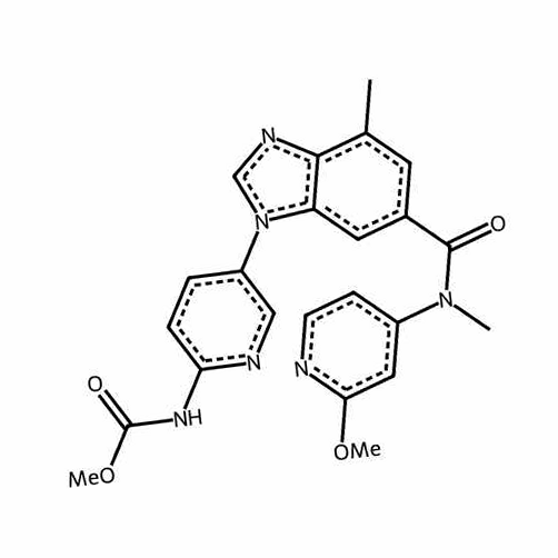 COC(=O)Nc1ccc(-n2cnc3c(C)cc(C(=O)N(C)c4ccnc(OC)c4)cc32)cn1